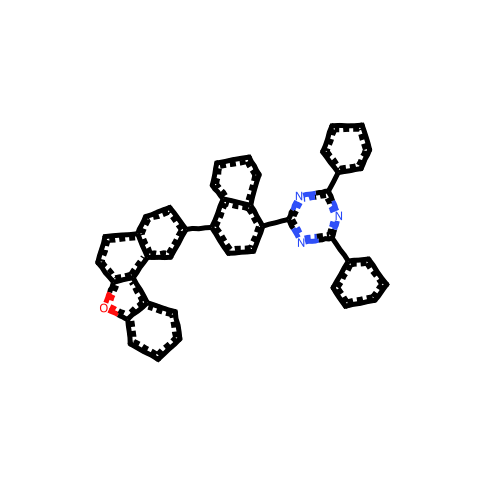 c1ccc(-c2nc(-c3ccccc3)nc(-c3ccc(-c4ccc5ccc6oc7ccccc7c6c5c4)c4ccccc34)n2)cc1